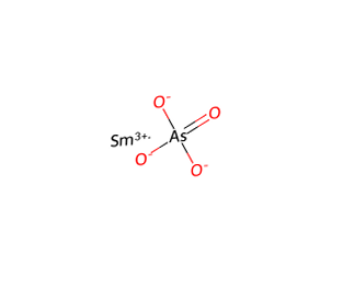 O=[As]([O-])([O-])[O-].[Sm+3]